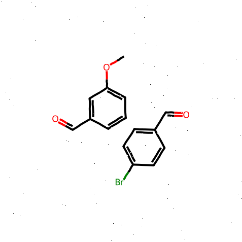 COc1cccc(C=O)c1.O=Cc1ccc(Br)cc1